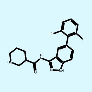 O=C(Nc1n[nH]c2ccc(-c3c(F)cccc3Cl)cc12)C1CCCNC1